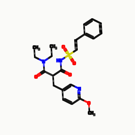 CCN(CC)C(=O)C(Cc1ccc(OC)nc1)C(=O)NS(=O)(=O)/C=C/c1ccccc1